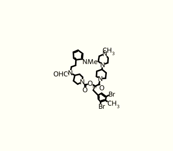 CNc1ccccc1CCN(C=O)C1CCN(C(=O)O[C@H](Cc2cc(Br)c(C)c(Br)c2)C(=O)N2CCC(N3CCN(C)CC3)CC2)CC1